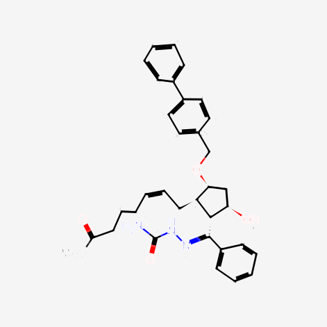 COC(=O)CCC/C=C\C[C@@H]1[C@@H](C(=NNC(N)=O)c2ccccc2)[C@H](O)C[C@@H]1OCc1ccc(-c2ccccc2)cc1